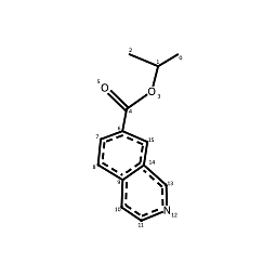 CC(C)OC(=O)c1ccc2ccncc2c1